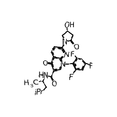 CC(C)C[C@@H](C)NC(=O)c1cn(-c2c(F)cc(F)cc2F)c2nc(N3C[C@@H](O)CC3=O)ccc2c1=O